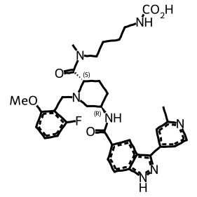 COc1cccc(F)c1CN1C[C@H](NC(=O)c2ccc3[nH]nc(-c4ccnc(C)c4)c3c2)CC[C@H]1C(=O)N(C)CCCCNC(=O)O